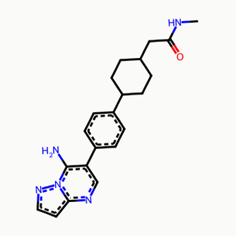 CNC(=O)CC1CCC(c2ccc(-c3cnc4ccnn4c3N)cc2)CC1